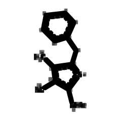 [CH2]C(=O)Nc1sc(Cc2ccccc2)c(C)c1C#N